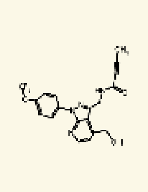 CC#CC(=O)NCc1nn(-c2ccc(OC(F)(F)F)cc2)c2nccc(CO)c12